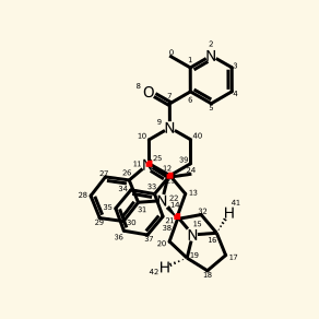 Cc1ncccc1C(=O)N1CCC(CCN2[C@@H]3CC[C@H]2C[C@@H](n2c(C)nc4ccccc42)C3)(c2ccccc2)CC1